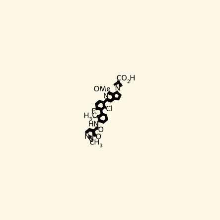 COc1nc(C2C=CC(F)=C(C3=C(C)C(NC(=O)c4ccnn(C)c4=O)=CCC3)C2Cl)cc2c1[C@H](N1CC(C(=O)O)C1)CC2